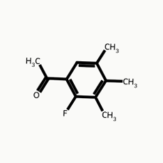 CC(=O)c1cc(C)c(C)c(C)c1F